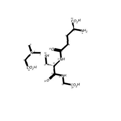 CN(C)CC(=O)O.N[C@@H](CCC(=O)N[C@@H](CS)C(=O)NCC(=O)O)C(=O)O